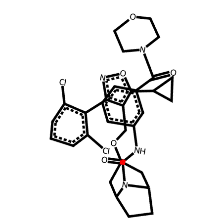 O=C(c1cccc(NC(=O)N2C3CCC2CC(OCc2c(-c4c(Cl)cccc4Cl)noc2C2CC2)C3)c1)N1CCOCC1